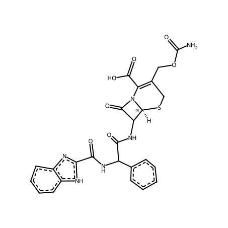 NC(=O)OCC1=C(C(=O)O)N2C(=O)C(NC(=O)C(NC(=O)c3nc4ccccc4[nH]3)c3ccccc3)[C@@H]2SC1